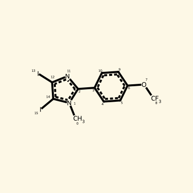 Cn1c(-c2ccc(OC(F)(F)F)cc2)nc(I)c1I